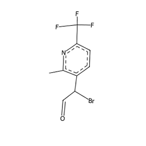 Cc1nc(C(F)(F)F)ccc1C(Br)C=O